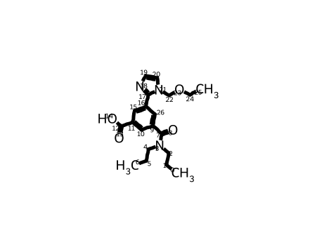 CCCN(CCC)C(=O)c1cc(C(=O)O)cc(-c2nccn2COCC)c1